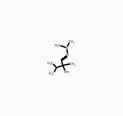 CC(C)C(C)(O)C=NN(C)C